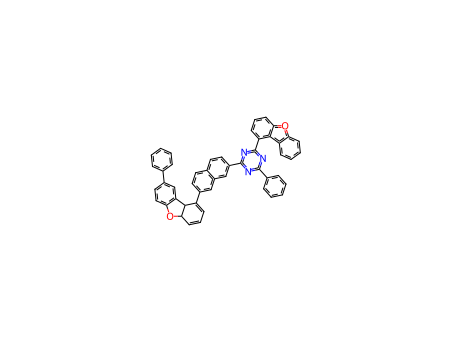 C1=CC2Oc3ccc(-c4ccccc4)cc3C2C(c2ccc3ccc(-c4nc(-c5ccccc5)nc(-c5cccc6oc7ccccc7c56)n4)cc3c2)=C1